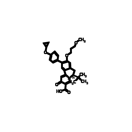 COCCCOc1cc2c(cc1-c1ccc(OC3CC3)cc1)-c1cc(=O)c(C(=O)O)cn1[C@H](C(C)(C)C)C2